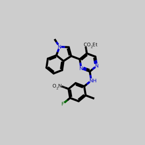 CCOC(=O)c1cnc(Nc2cc([N+](=O)[O-])c(F)cc2C)nc1-c1cn(C)c2ccccc12